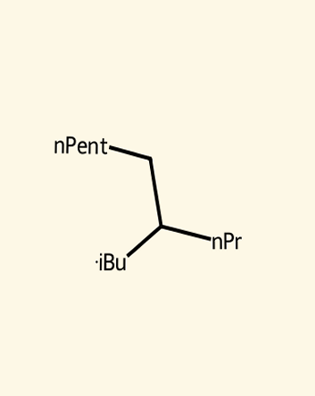 CCCCCCC(CCC)[C](C)CC